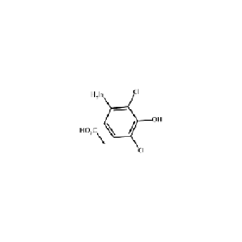 CC(=O)O.Oc1c(Cl)cc[c]([InH2])c1Cl